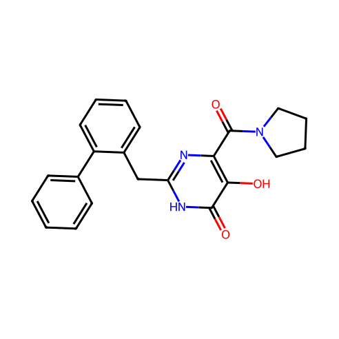 O=C(c1nc(Cc2ccccc2-c2ccccc2)[nH]c(=O)c1O)N1CCCC1